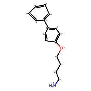 NCCCCOc1ccc(-c2ccccc2)cc1